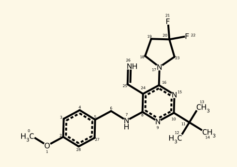 COc1ccc(CNc2nc(C(C)(C)C)nc(N3CCC(F)(F)C3)c2C=N)cc1